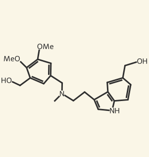 COc1cc(CN(C)CCc2c[nH]c3ccc(CO)cc23)cc(CO)c1OC